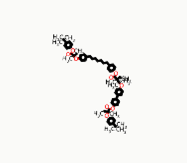 CCC(C)(Oc1ccc(CCCCCCCc2ccc(OC(=O)C(C)(CC)C(C)(C)Oc3ccc(-c4ccc(OC(=O)C(C)(CC)Oc5ccc(C(C)(C)C)cc5)cc4)cc3)cc2)cc1)C(=O)Oc1ccc(C(C)(C)C)cc1